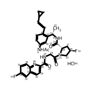 CC(=O)Nc1ccc(/C=C/C2CC2)c([C@H](C)NC(=O)[C@@H]2C[C@@H](F)CN2C(=O)CNC(=O)c2ccc3cc(F)ccc3n2)c1.Cl